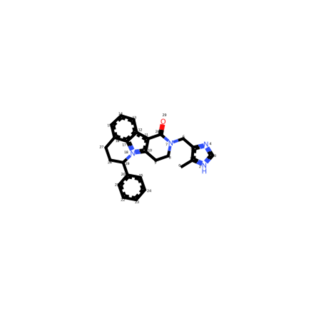 Cc1[nH]cnc1CN1CCc2c(c3cccc4c3n2C(c2ccccc2)CC4)C1=O